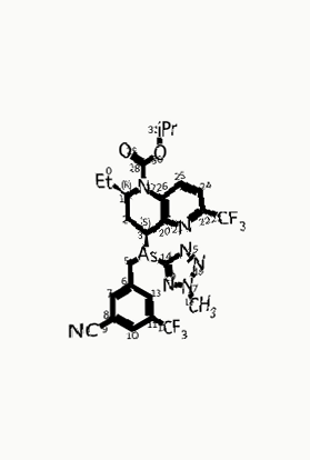 CC[C@@H]1C[C@H]([As](Cc2cc(C#N)cc(C(F)(F)F)c2)c2nnn(C)n2)c2nc(C(F)(F)F)ccc2N1C(=O)OC(C)C